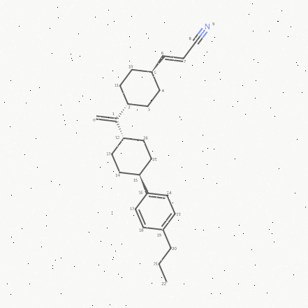 C=C([C@H]1CC[C@H](/C=C/C#N)CC1)[C@H]1CC[C@H](c2ccc(CCC)cc2)CC1